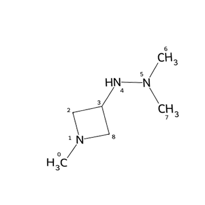 CN1CC(NN(C)C)C1